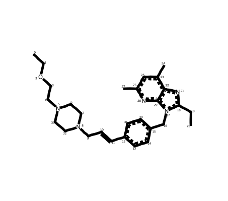 CCOCCN1CCN(CC=Cc2ccc(Cn3c(CC)nc4c(C)cc(C)nc43)cc2)CC1